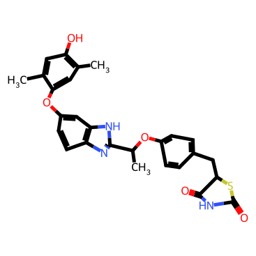 Cc1cc(Oc2ccc3nc(C(C)Oc4ccc(CC5SC(=O)NC5=O)cc4)[nH]c3c2)c(C)cc1O